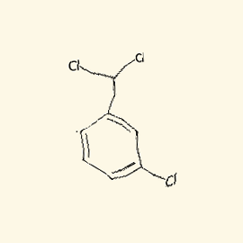 Clc1cc[c]c(C(Cl)Cl)c1